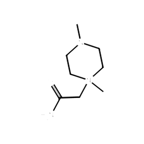 CN1CC[N+](C)(CC(N)=O)CC1